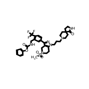 CS(=O)(=O)N1CCc2c(c(-c3ccc(C(F)(F)F)c(CNC(=O)Oc4ccccc4)c3)nn2CCCN2CCC3(CCNC3=O)CC2)C1